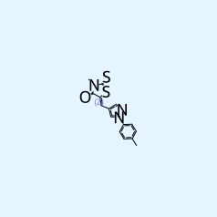 Cc1ccc(-n2cc(/C=C3\SC(=S)N(C)C3=O)cn2)cc1